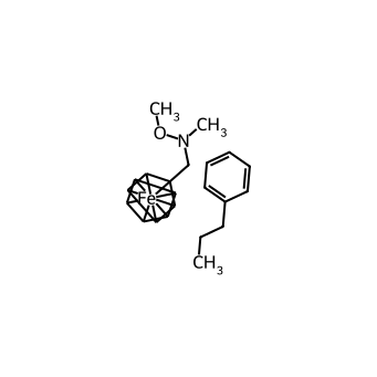 CCCc1ccccc1.CON(C)C[C]12[CH]3[CH]4[CH]5[CH]1[Fe]45321678[CH]2[CH]1[CH]6[CH]7[CH]28